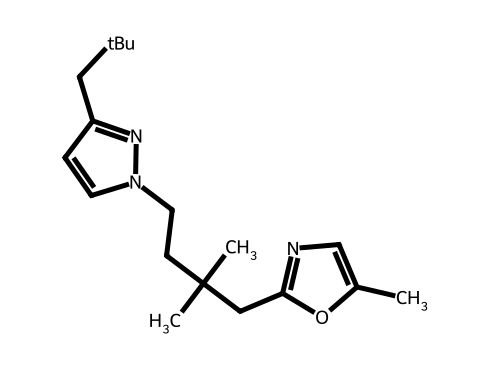 Cc1cnc(CC(C)(C)CCn2ccc(CC(C)(C)C)n2)o1